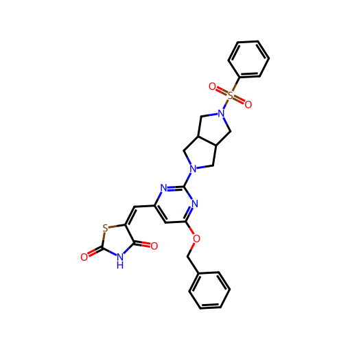 O=C1NC(=O)/C(=C\c2cc(OCc3ccccc3)nc(N3CC4CN(S(=O)(=O)c5ccccc5)CC4C3)n2)S1